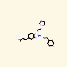 O=C(/C=C/c1ccc2c(c1)nc(NCCc1ccccc1)n2CCN1CCCC1)NO